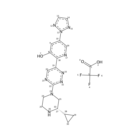 O=C(O)C(F)(F)F.Oc1cc(-n2nccn2)cnc1-c1cnc(N2CCN[C@@H](C3CC3)C2)nn1